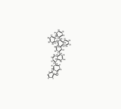 c1ccc2c(c1)oc1ccc(-c3cccc4c(-c5ccc6c(c5)c5ccccc5c5c7ccccc7c7ccccc7c65)cccc34)cc12